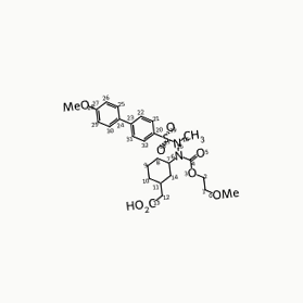 COCCOC(=O)N(C1CCCC(CC(=O)O)C1)N(C)S(=O)(=O)c1ccc(-c2ccc(OC)cc2)cc1